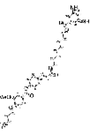 COc1cc(C(=O)Oc2ccc(C=CC(=O)OCCCCCCCCOC(=O)c3cc(N)cc(N)c3)cc2)ccc1OCCCC(F)(F)F